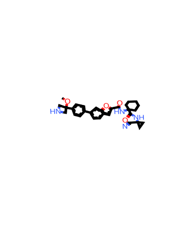 COC1(c2ccc(-c3ccc4cc(C(=O)NC5(C(=O)NC6(C#N)CC6)CCCCC5)oc4c3)cc2)CNC1